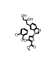 COC(=O)c1sc(-n2cnc3ccc(CC(O)CO)cc32)cc1O[C@H](C)c1ccccc1Cl